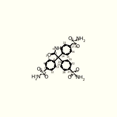 NC(=O)C(c1ccc(S(N)(=O)=O)cc1)(c1ccc(S(N)(=O)=O)cc1)c1ccc(S(N)(=O)=O)cc1